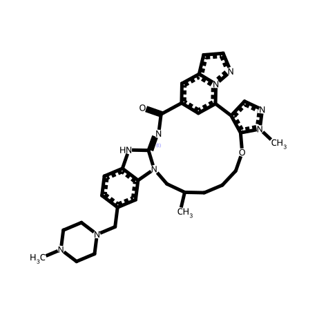 CC1CCCOc2c(cnn2C)-c2cc(cc3ccnn23)C(=O)/N=C2\Nc3ccc(CN4CCN(C)CC4)cc3N2C1